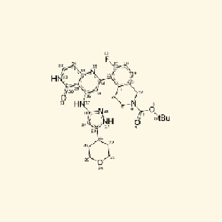 CC(C)(C)OC(=O)N1CCc2c(ccc(F)c2-c2cc(Nc3cc(C4CCOCC4)[nH]n3)c3c(=O)[nH]ccc3n2)C1